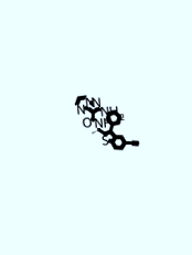 C#Cc1ccc2sc([C@H](C)NC(=O)c3c(N)nn4cccnc34)c(-c3ccccc3)c2c1